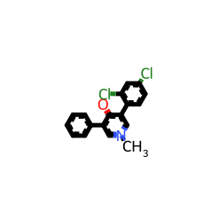 Cn1cc(-c2ccccc2)c(=O)c(-c2ccc(Cl)cc2Cl)c1